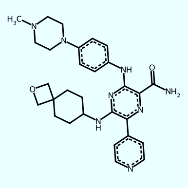 CN1CCN(c2ccc(Nc3nc(NC4CCC5(CC4)COC5)c(-c4ccncc4)nc3C(N)=O)cc2)CC1